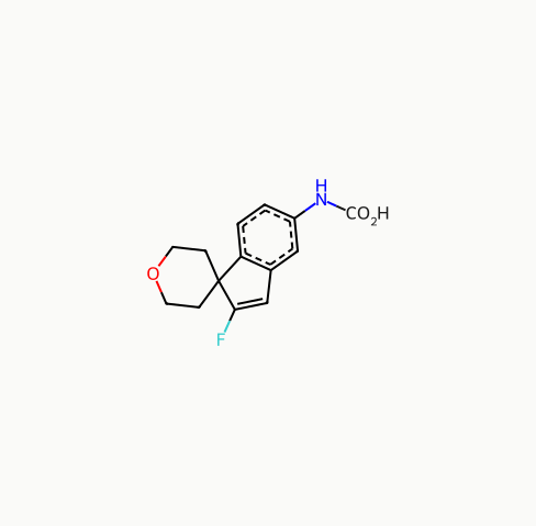 O=C(O)Nc1ccc2c(c1)C=C(F)C21CCOCC1